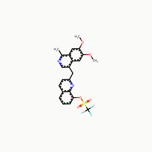 COc1cc2c(Cc3ccc4cccc(OS(=O)(=O)C(F)(F)F)c4n3)cnc(C)c2cc1OC